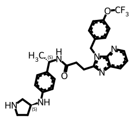 C[C@H](NC(=O)CCc1nc2cccnc2n1Cc1ccc(OC(F)(F)F)cc1)c1ccc(N[C@H]2CCNC2)cc1